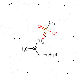 CCCCCCCC[Si+](C)C.O=S(=O)([O-])C(F)(F)F